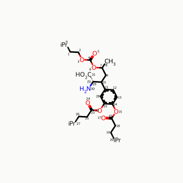 CC(C)CCOC(=O)OC(C)CC(c1ccc(OC(=O)CCC(C)C)c(OC(=O)CCC(C)C)c1)[C@H](N)C(=O)O